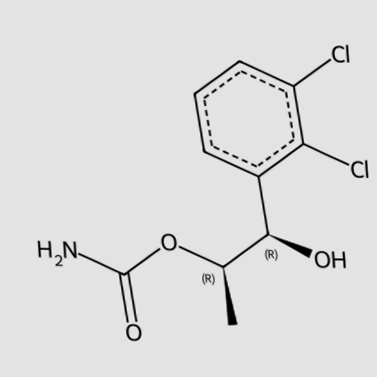 C[C@@H](OC(N)=O)[C@H](O)c1cccc(Cl)c1Cl